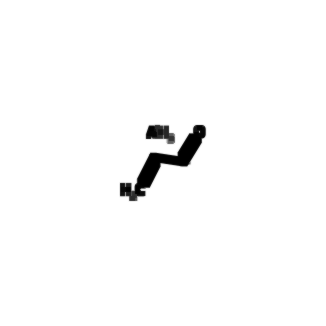 C=C[C]=O.[AlH3]